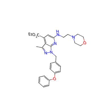 CCOC(=O)c1cc(NCCN2CCOCC2)nc2c1c(C)nn2Cc1ccc(Oc2ccccc2)cc1